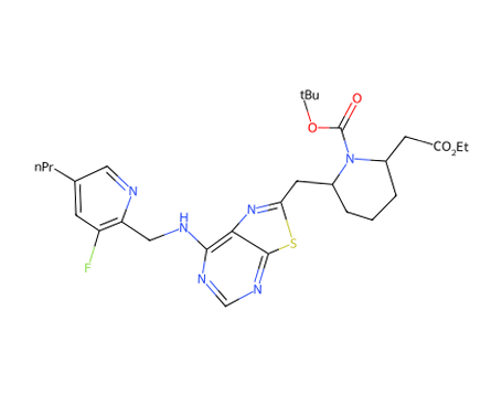 CCCc1cnc(CNc2ncnc3sc(CC4CCCC(CC(=O)OCC)N4C(=O)OC(C)(C)C)nc23)c(F)c1